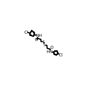 O=C(CCSSCCC(=O)Nc1ccc(Cl)cc1)Nc1ccc(Cl)cc1